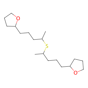 CC(CCCC1CCCO1)SC(C)CCCC1CCCO1